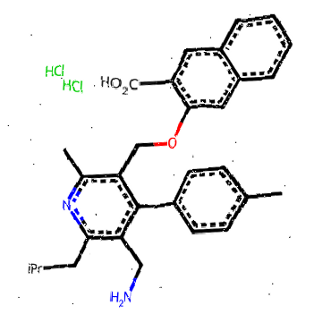 Cc1ccc(-c2c(COc3cc4ccccc4cc3C(=O)O)c(C)nc(CC(C)C)c2CN)cc1.Cl.Cl